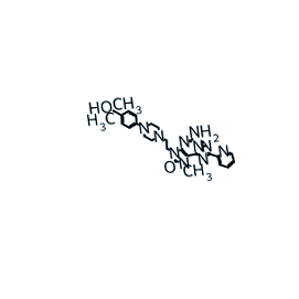 Cn1c(=O)n(CCN2CCN(c3ccc(C(C)(C)O)cc3)CC2)c2nc(N)n3nc(-c4ccccn4)nc3c21